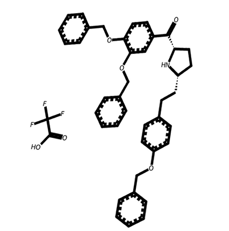 O=C(O)C(F)(F)F.O=C(c1ccc(OCc2ccccc2)c(OCc2ccccc2)c1)[C@@H]1CC[C@H](CCc2ccc(OCc3ccccc3)cc2)N1